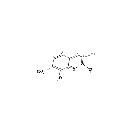 CCOC(=O)c1cnc2cc(F)c(Cl)cc2c1C(C)C